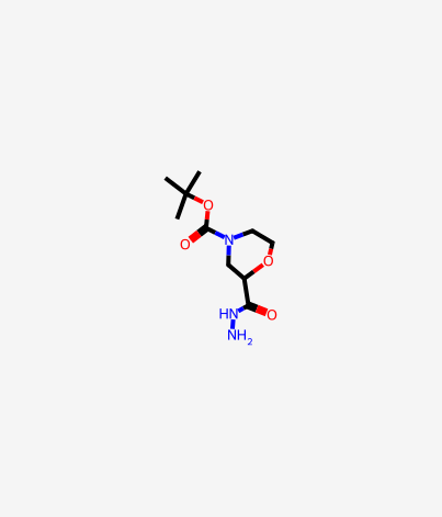 CC(C)(C)OC(=O)N1CCOC(C(=O)NN)C1